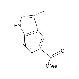 COC(=O)c1cnc2[nH]cc(C)c2c1